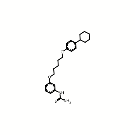 NC(=S)Nc1cccc(OCCCCCOc2ccc(C3CCCCC3)cc2)c1